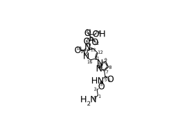 NCCONC(=O)c1ccn(C2=CC3CN(C2)C(=O)N3OS(=O)(=O)O)n1